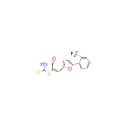 O=C1NC(=S)SC1=Cc1ccc(-c2ccccc2C(F)(F)F)o1